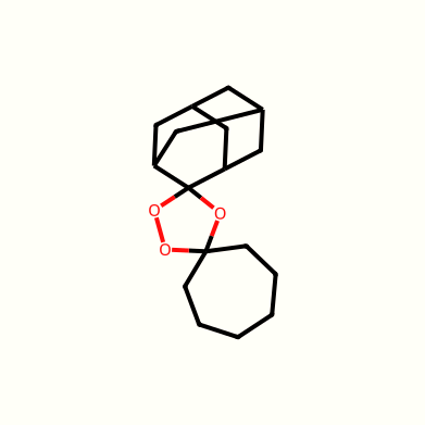 C1CCCC2(CC1)OOC1(O2)C2CC3CC(C2)CC1C3